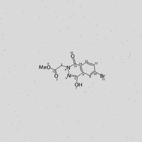 COC(=O)Cn1nc(O)c2cc(Br)ccc2c1=O